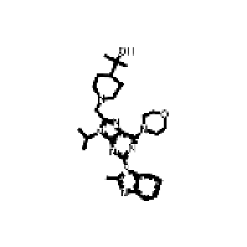 Cc1nc2ccccc2n1-c1nc(N2CCOCC2)c2nc(CN3CCC(C(C)(C)O)CC3)n(C(C)C)c2n1